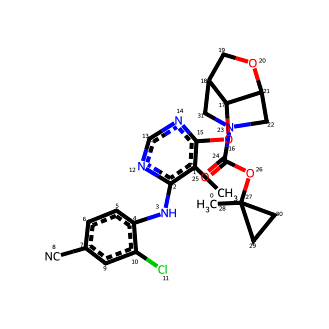 Cc1c(Nc2ccc(C#N)cc2Cl)ncnc1OC1C2COC1CN(C(=O)OC1(C)CC1)C2